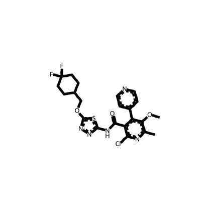 COc1c(C)nc(Cl)c(C(=O)Nc2nnc(OCC3CCC(F)(F)CC3)s2)c1-c1ccncc1